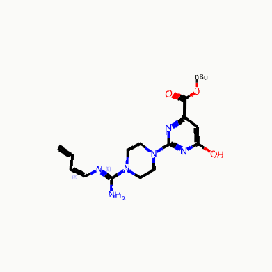 C=C/C=C\N=C(/N)N1CCN(c2nc(O)cc(C(=O)OCCCC)n2)CC1